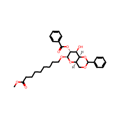 COC(=O)CCCCCCCCO[C@@H]1O[C@@H]2COC(c3ccccc3)O[C@@H]2[C@H](O)[C@H]1OC(=O)c1ccccc1